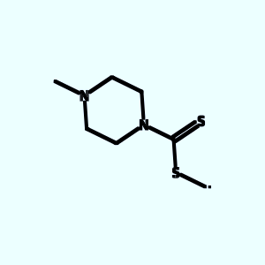 [CH2]SC(=S)N1CCN(C)CC1